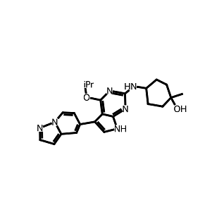 CC(C)Oc1nc(NC2CCC(C)(O)CC2)nc2[nH]cc(-c3ccn4nccc4c3)c12